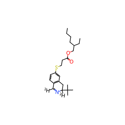 [2H]C1=NC([2H])(C(C)(C)C)Cc2cc(SCCC(=O)OCC(CC)CCCC)ccc21